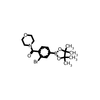 CC1(C)OB(c2ccc(C(=O)N3CCOCC3)c(Br)c2)OC1(C)C